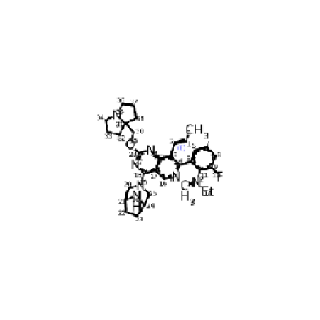 C/C=C/c1c(-c2cccc(F)c2N(C)CC)ncc2c(N3CC4CCC(C3)N4)nc(OCC34CCCN3CCC4)nc12